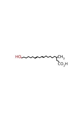 CC(CCCCC/C=C/C/C=C/CCCCCCO)CCC(=O)O